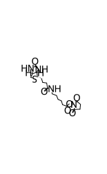 O=C(CCC[C@@H]1SC[C@@H]2NC(=O)N[C@@H]21)NCCCCCC(=O)ON1C(=O)CCC1=O